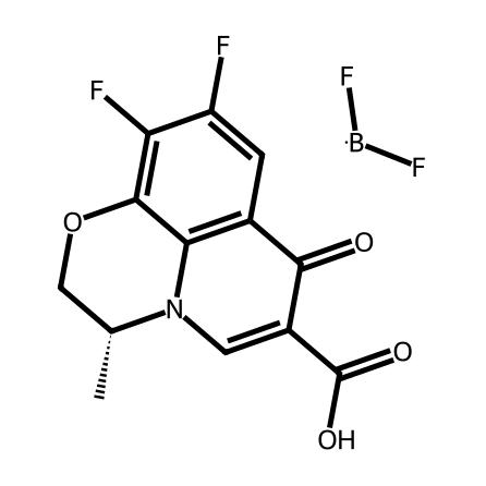 C[C@@H]1COc2c(F)c(F)cc3c(=O)c(C(=O)O)cn1c23.F[B]F